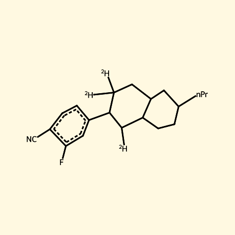 [2H]C1C2CCC(CCC)CC2CC([2H])([2H])C1c1ccc(C#N)c(F)c1